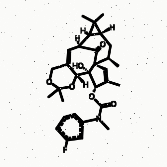 CC1=C[C@]23C(=O)[C@@H](C=C4COC(C)(C)O[C@H]4[C@]2(O)[C@H]1OC(=O)N(C)c1cccc(F)c1)[C@H]1[C@@H](C[C@H]3C)C1(C)C